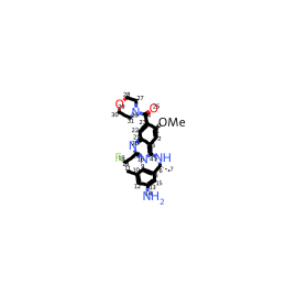 COc1cc2c(N[C@H](C)c3cc(C)cc(N)c3)nc(CF)nc2cc1C(=O)N1CCOCC1